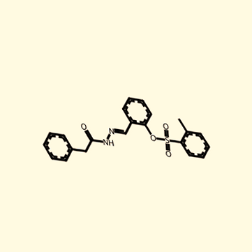 Cc1ccccc1S(=O)(=O)Oc1ccccc1/C=N/NC(=O)Cc1ccccc1